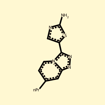 CCCc1ccn2c(-c3cnc(N)s3)nnc2c1